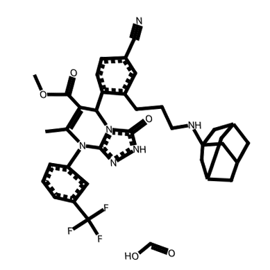 COC(=O)C1=C(C)N(c2cccc(C(F)(F)F)c2)c2n[nH]c(=O)n2C1c1ccc(C#N)cc1CCCNC12CC3CC(CC(C3)C1)C2.O=CO